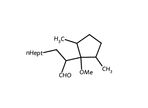 CCCCCCCCC(C=O)C1(OC)C(C)CCC1C